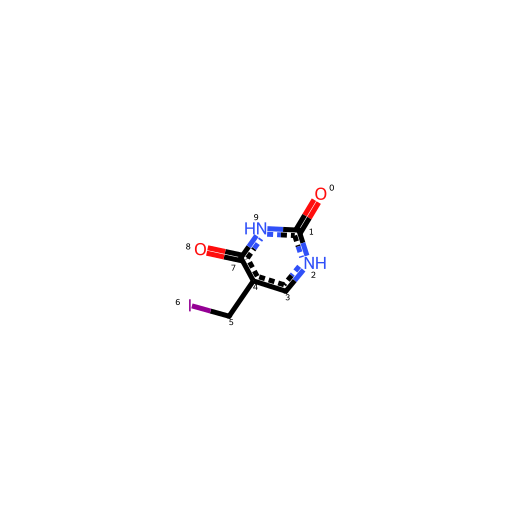 O=c1[nH]cc(CI)c(=O)[nH]1